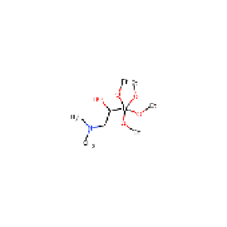 CC[O][Ta]([O]CC)([O]CC)([O]CC)[CH](O)CN(C)C